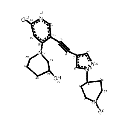 CC(=O)N1CCC(n2cc(C#Cc3cnc(Cl)cc3N3CCCC(O)C3)cn2)CC1